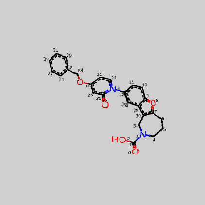 O=C(O)N1CCCc2oc3ccc(-n4ccc(OCc5ccccc5)cc4=O)cc3c2C1